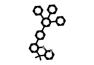 CC1(C)c2cccnc2Sc2c(-c3ccc(-c4cc(-c5ccccc5)c(-c5ccccc5)c(-c5ccccc5)c4)cc3)cccc21